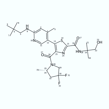 Cc1cc(NCC(C)(C)C)ncc1-c1sc(C(=O)NC(C)(C)CO)nc1C(=O)N1CC(F)(F)C[C@@H]1C